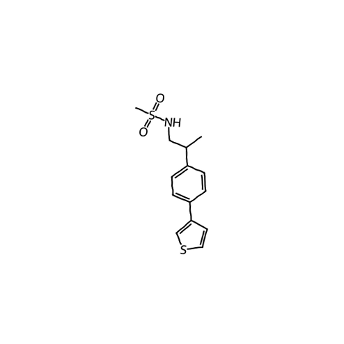 CC(CNS(C)(=O)=O)c1ccc(-c2ccsc2)cc1